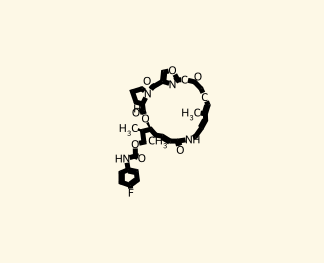 CC1=C\CCC(=O)Cc2nc(co2)C(=O)N2CCC[C@@H]2C(=O)O[C@H]([C@H](C)COC(=O)Nc2ccc(F)cc2)[C@H](C)/C=C/C(=O)NC\C=C\1